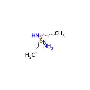 CCCCCS(=N)S(CCCCC)=NN